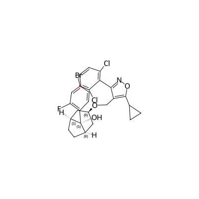 O[C@]1(c2ccc(Br)cc2F)[C@@H]2CC[C@H]1C[C@@H](OCc1c(-c3c(Cl)cccc3Cl)noc1C1CC1)C2